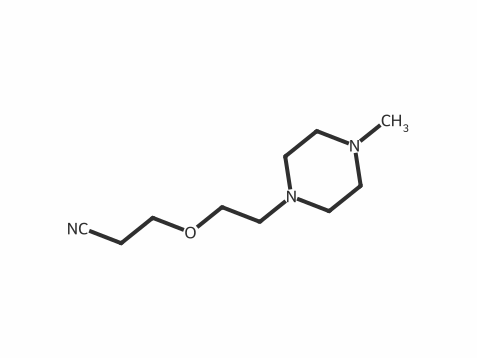 CN1CCN(CCOCCC#N)CC1